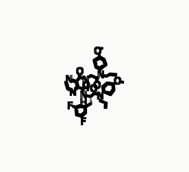 C=CCN(C(=O)CNC(=O)c1nccnc1C(=O)N[C@@H](Cc1cc(F)cc(F)c1)C(=O)N(CC=C)c1ccc(OC)cc1)c1ccc(OC)cc1